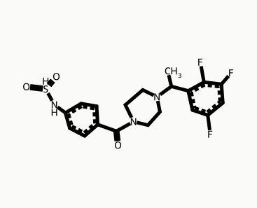 CC(c1cc(F)cc(F)c1F)N1CCN(C(=O)c2ccc(N[SH](=O)=O)cc2)CC1